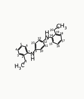 CCc1ccccc1Nc1ccc(Nc2ccccc2CC)cc1